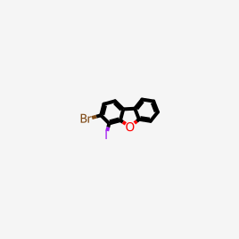 Brc1ccc2c(oc3ccccc32)c1I